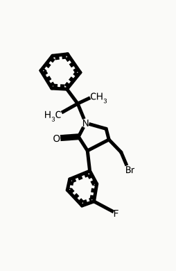 CC(C)(c1ccccc1)N1CC(CBr)C(c2cccc(F)c2)C1=O